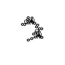 c1ccc(-c2ccc(-c3ccc(-c4nc(-c5ccccc5)nc(-c5ccc(-c6cc(-c7cccc8c(-c9ccc(-c%10nc(-c%11ccccc%11)nc(-c%11ccc(-c%12ccc%13ccccc%13c%12)c%12oc%13cc%14ccccc%14cc%13c%11%12)n%10)cc9)cccc78)cc7ccccc67)c6oc7cc8ccccc8cc7c56)n4)cc3)cc2)cc1